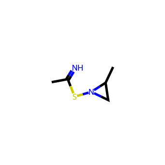 CC(=N)SN1CC1C